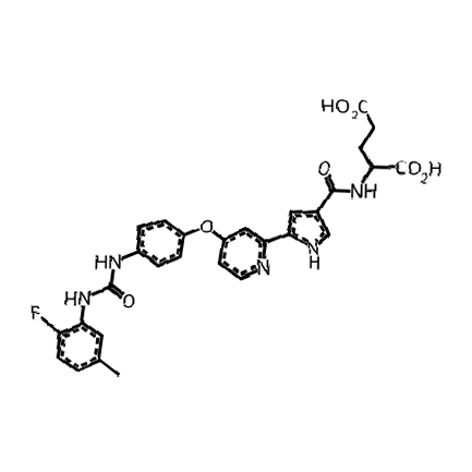 Cc1ccc(F)c(NC(=O)Nc2ccc(Oc3ccnc(-c4cc(C(=O)NC(CCC(=O)O)C(=O)O)c[nH]4)c3)cc2)c1